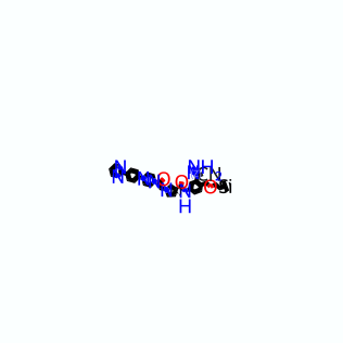 C[Si](C)(C)CCOCc1ccc(NC(=O)[C@@H]2CCN(CC(=O)N3CCN(c4ccc(-c5ncccn5)cc4)CC3)C2)cc1/C(C#N)=N/N